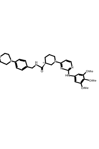 COc1cc(Nc2nccc(N3CCC[C@H](C(=O)NCc4ccc(N5CCOCC5)cc4)C3)n2)cc(OC)c1OC